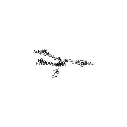 CC(=O)N[C@H]1[C@H]2OC[C@](COCCOCCOCCOCCn3cc(COCC(COCc4cn(CCOCCOCCOCCOC[C@@]56CO[C@@H](O5)[C@H](NC(C)=O)[C@@H](O)[C@H]6O)nn4)(COCc4cn(CCOCCOCCOCCOC[C@]56CO[C@H](C[C@@H](O)[C@H]5O)O6)nn4)NC(=O)CCCCCNC(=O)CCCCCO)nn3)(O2)[C@H](O)[C@@H]1O